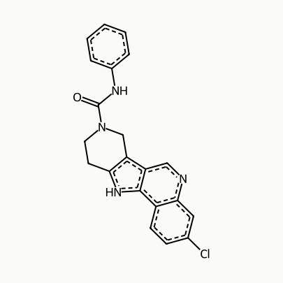 O=C(Nc1ccccc1)N1CCc2[nH]c3c(cnc4cc(Cl)ccc43)c2C1